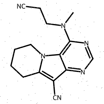 CN(CCC#N)c1ncnc2c(C#N)c3n(c12)CCCC3